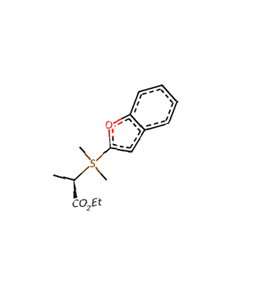 CCOC(=O)[C@@H](C)S(C)(C)c1cc2ccccc2o1